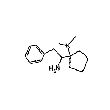 CN(C)C1(C(N)Cc2ccccc2)CCCC1